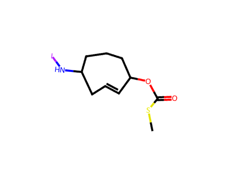 CSC(=O)OC1/C=C/CC(NI)CCC1